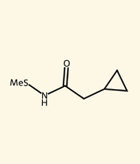 CSNC(=O)CC1CC1